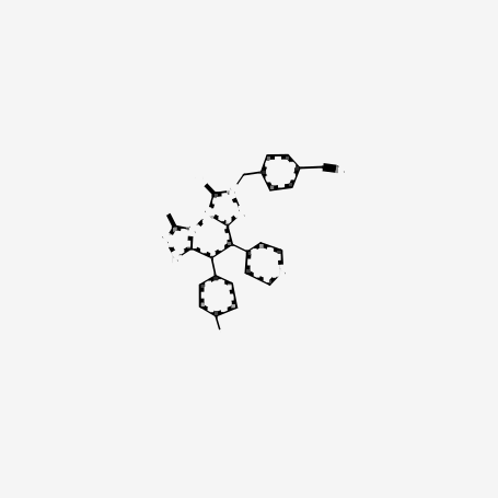 N#Cc1ccc(Cn2nc3c(-c4ccncc4)c(-c4ccc(Cl)cc4)c4n[nH]c(=O)n4n3c2=O)cc1